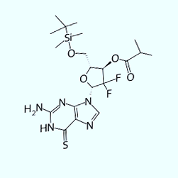 CC(C)C(=O)O[C@@H]1[C@@H](CO[Si](C)(C)C(C)(C)C)O[C@@H](n2cnc3c(=S)[nH]c(N)nc32)C1(F)F